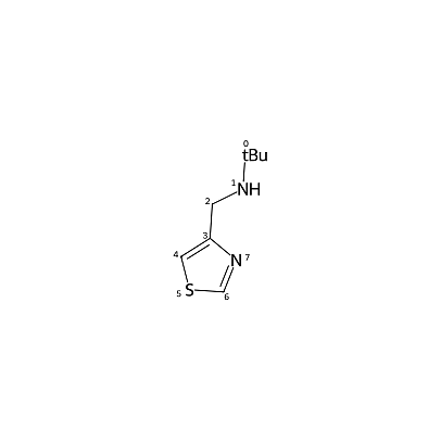 CC(C)(C)NCc1cscn1